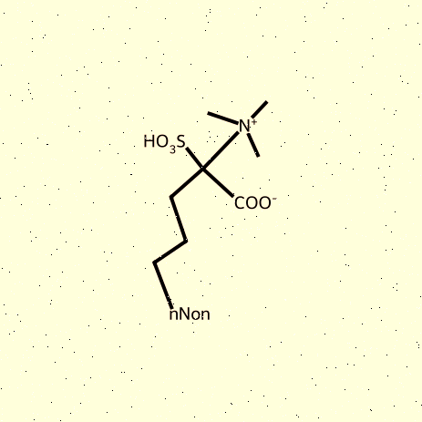 CCCCCCCCCCCCC(C(=O)[O-])([N+](C)(C)C)S(=O)(=O)O